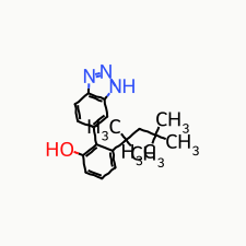 CC(C)(C)CC(C)(C)c1cccc(O)c1-c1ccc2nn[nH]c2c1